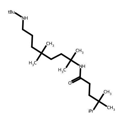 CC(C)C(C)(C)CCC(=O)NC(C)(C)CCC(C)(C)CCCNC(C)(C)C